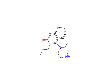 CCCc1c(N2CCNCC2C)c2ccccc2oc1=O